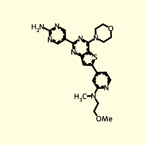 COCCN(C)c1cc(-c2cc3nc(-c4cnc(N)nc4)nc(N4CCOCC4)c3s2)ccn1